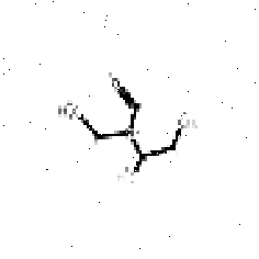 CCC(C)N(C=O)CC